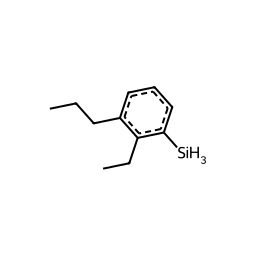 CCCc1cccc([SiH3])c1CC